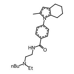 CCCCN(CC)CCNC(=O)c1ccc(-n2c(C)cc3c2CCCC3)cc1